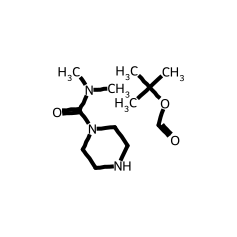 CC(C)(C)OC=O.CN(C)C(=O)N1CCNCC1